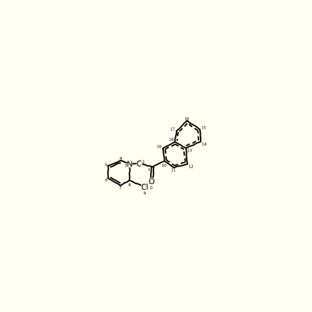 O=C(CN1C=CC=CC1Cl)c1ccc2ccccc2c1